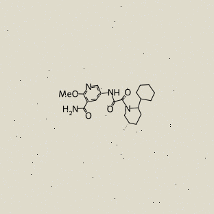 COc1ncc(NC(=O)C(=O)N2C[C@@H](C)CCC2C2CCCCC2)cc1C(N)=O